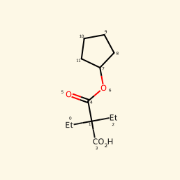 CCC(CC)(C(=O)O)C(=O)OC1CCCC1